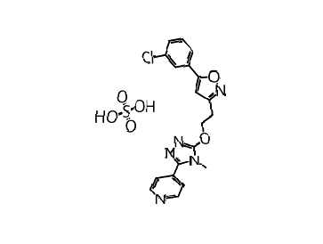 Cn1c(OCCc2cc(-c3cccc(Cl)c3)on2)nnc1-c1ccncc1.O=S(=O)(O)O